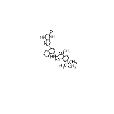 COc1ccc(C(C)(C)C)cc1NC(=O)Nc1ccc(-c2cnc3c(c2)NC(=O)CN3)c2ccccc12